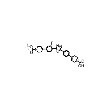 CC(C)(C)OC(=O)N1CC=C(c2ccc(-c3nnc(-c4ccc(C5=CCN(C(=O)O)CC5)cc4)o3)c(F)c2)CC1